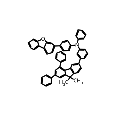 CC1(C)c2ccc(-c3cccc(N(c4ccccc4)c4ccc(-c5ccc6c(c5)oc5ccccc56)cc4)c3)cc2-c2c(-c3ccccc3)cc(-c3ccccc3)cc21